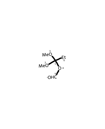 CCC(OC)(OC)O[C]=O